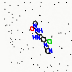 O=C(NCc1cc2cc(Cl)c(N3Cc4cccnc4C3)cc2[nH]1)N1CCCC1